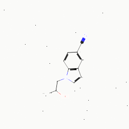 CC(O)Cn1ccc2cc(C#N)ccc21